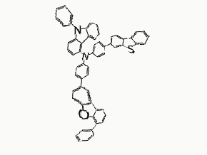 c1ccc(-c2cccc3c2oc2ccc(-c4ccc(N(c5ccc(-c6ccc7c(c6)sc6ccccc67)cc5)c5cccc6c5c5ccccc5n6-c5ccccc5)cc4)cc23)cc1